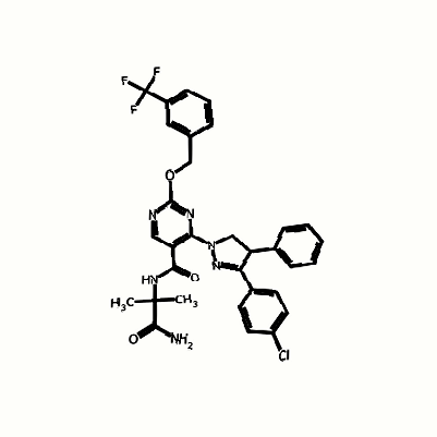 CC(C)(NC(=O)c1cnc(OCc2cccc(C(F)(F)F)c2)nc1N1CC(c2ccccc2)C(c2ccc(Cl)cc2)=N1)C(N)=O